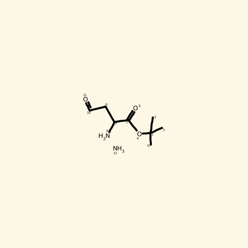 CC(C)(C)OC(=O)C(N)CC=O.N